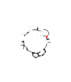 CC(C)C1OC(=O)C(C)(C)/C=C/c2ccc3ccc(nc3c2)CN(C)C(=O)[C@@H]2CCCN(N2)C(=O)[C@H](C)NC1=O